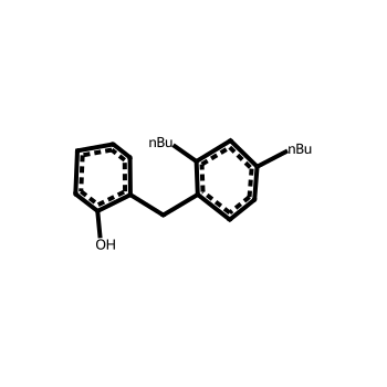 CCCCc1ccc(Cc2ccccc2O)c(CCCC)c1